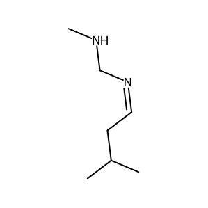 CNC/N=C\CC(C)C